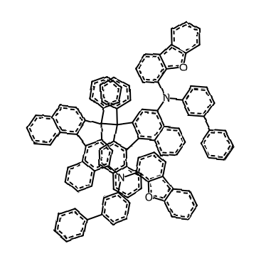 c1ccc(-c2cccc(N(c3cc4c(c5ccccc35)-c3c(ccc5ccccc35)C4(c3ccccc3)C3(c4ccccc4)c4ccc5ccccc5c4-c4c3cc(N(c3cccc(-c5ccccc5)c3)c3cccc5c3oc3ccccc35)c3ccccc43)c3cccc4c3oc3ccccc34)c2)cc1